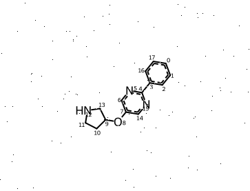 c1ccc(-c2ncc(OC3CCNC3)cn2)cc1